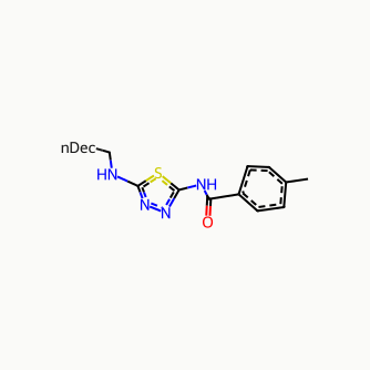 CCCCCCCCCCCNc1nnc(NC(=O)c2ccc(C)cc2)s1